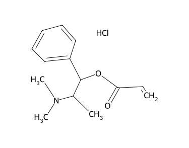 C=CC(=O)OC(c1ccccc1)C(C)N(C)C.Cl